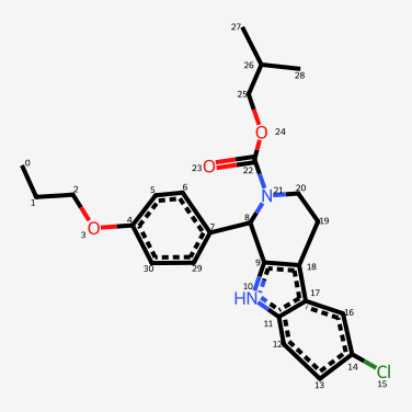 CCCOc1ccc(C2c3[nH]c4ccc(Cl)cc4c3CCN2C(=O)OCC(C)C)cc1